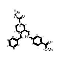 COC(=O)c1ccc(NCC2CN(C(=O)OC(C)(C)C)CCN2Cc2ccccc2)cc1